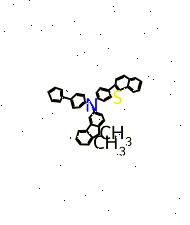 CC1(C)c2ccccc2-c2cc(N(c3ccc(-c4ccccc4)cc3)c3ccc4c(c3)sc3c5ccccc5ccc43)ccc21